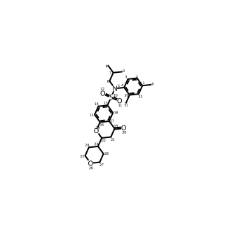 Cc1ccc(N(CC(C)C)S(=O)(=O)c2ccc3c(c2)C(=O)CC(C2CCOCC2)O3)c(C)c1